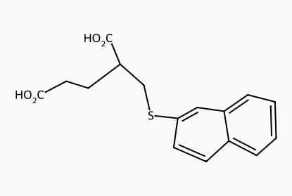 O=C(O)CCC(CSc1ccc2ccccc2c1)C(=O)O